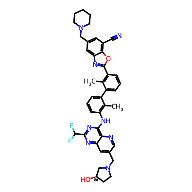 Cc1c(Nc2nc(C(F)F)nc3cc(CN4CC[C@@H](O)C4)cnc23)cccc1-c1cccc(-c2nc3cc(CN4CCCCC4)cc(C#N)c3o2)c1C